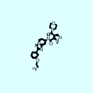 Cn1ncc(C(=O)N2CCOCC2)c1C(=O)Nc1ccn2nc(-c3cccc(OCC[18F])c3)nc2c1